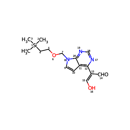 C[Si](C)(C)CCOCn1ccc2c(C(C=O)=CO)ncnc21